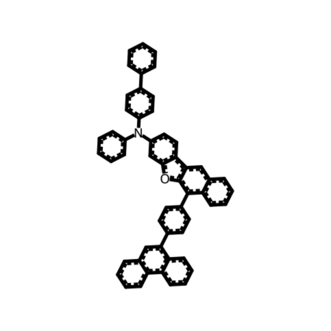 c1ccc(-c2ccc(N(c3ccccc3)c3ccc4c(c3)oc3c(-c5ccc(-c6cc7ccccc7c7ccccc67)cc5)c5ccccc5cc34)cc2)cc1